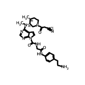 C[C@@H]1CCN(C(=O)CC#N)C[C@@H]1N(C)c1ncnc2c1ccn2C(=O)NCC(=O)Nc1ccc(CCN)cc1.Cl